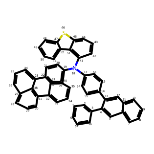 c1ccc(-c2cc3ccccc3cc2-c2ccc(N(c3ccc(-c4cccc5cccc(-c6ccccc6)c45)cc3)c3cccc4sc5ccccc5c34)cc2)cc1